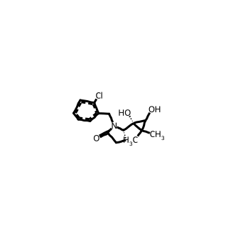 CC1(C)C(O)[C@]1(O)[C@@H]1CCC(=O)N1Cc1ccccc1Cl